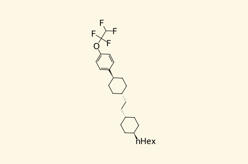 CCCCCC[C@H]1CC[C@H](CC[C@H]2CC[C@H](c3ccc(OC(F)(F)C(F)F)cc3)CC2)CC1